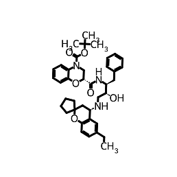 CCc1ccc2c(c1)[C@@H](NC[C@@H](O)[C@H](Cc1ccccc1)NC(=O)[C@H]1CN(C(=O)OC(C)(C)C)c3ccccc3O1)CC1(CCCC1)O2